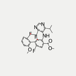 COC(=O)c1cc(F)c(-c2c(F)cccc2OC)c(F)c1Nc1c(C(C)C)ncnc1C(C)C